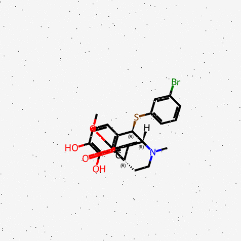 COC1=CC2[C@@H]3[C@H](Sc4cccc(Br)c4)c4ccc(O)c(O)c4[C@]2(CCN3C)CC1=O